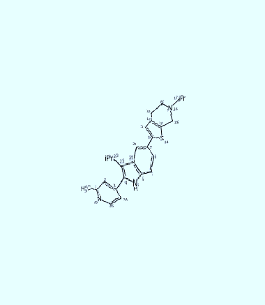 Cc1cc(-c2[nH]c3ccc(-c4cc5c(s4)CN(C(C)C)CC5)cc3c2C(C)C)ccn1